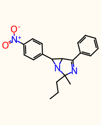 CCCC1(C)N=C(c2ccccc2)C2C(c3ccc([N+](=O)[O-])cc3)N21